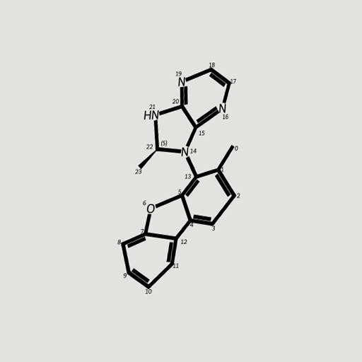 Cc1ccc2c(oc3ccccc32)c1N1c2nccnc2N[C@@H]1C